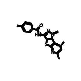 Cc1ccc(C(=O)Nc2nn(C)c3c2sc2nc(C)cc(C)c23)cc1